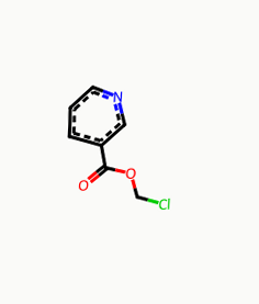 O=C(OCCl)c1cccnc1